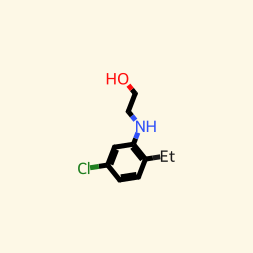 [CH2-][CH+]c1ccc(Cl)cc1NCCO